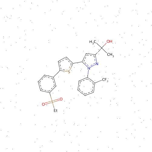 CCS(=O)(=O)c1cccc(-c2ccc(-c3cc(C(C)(C)O)nn3-c3ccccc3C(F)(F)F)s2)c1